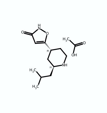 CC(=O)O.CC(C)C[C@H]1C[C@H](c2cc(=O)[nH]o2)CCN1